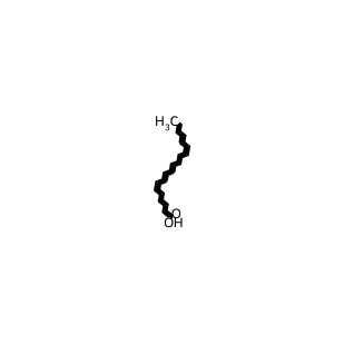 CCC/C=C/C=C\CC/C=C/C=C/C=C\CCCCC(=O)O